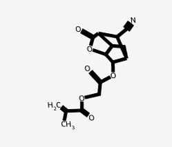 C=C(C)C(=O)OCC(=O)OC1C2CC3C1OC(=O)C3C2C#N